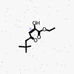 CCOC(=O)/C(O)=C\C(=O)CC(C)(C)C